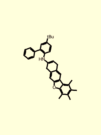 Cc1c(C)c(C)c2c(oc3cc4c(cc32)CC=C(Nc2ccc(C(C)(C)C)cc2-c2ccccc2)C4)c1C